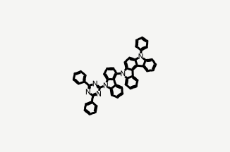 c1ccc(-c2nc(-c3ccccc3)nc(-n3c4ccccc4c4c(-n5c6ccccc6c6c7c8ccccc8n(-c8ccccc8)c7ccc65)cccc43)n2)cc1